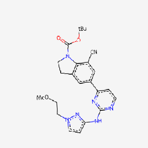 COCCn1ccc(Nc2nccc(-c3cc(C#N)c4c(c3)CCN4C(=O)OC(C)(C)C)n2)n1